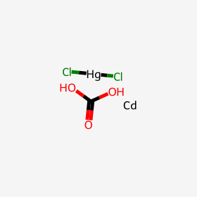 O=C(O)O.[Cd].[Cl][Hg][Cl]